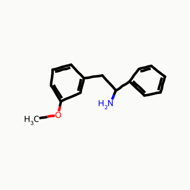 COc1cccc(CC(N)c2ccccc2)c1